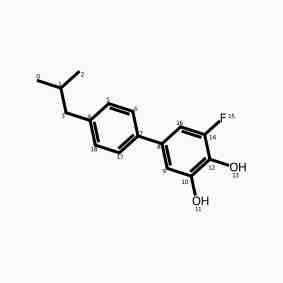 CC(C)Cc1ccc(-c2cc(O)c(O)c(F)c2)cc1